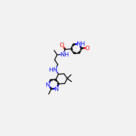 Cc1ncc2c(n1)CC(C)(C)CC2NCCC(C)NC(=O)c1ccc(=O)[nH]c1